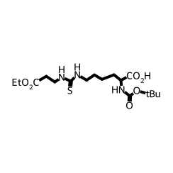 CCOC(=O)CCNC(=S)NCCCCC(NC(=O)OC(C)(C)C)C(=O)O